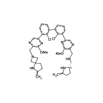 C=C1CC[C@@H](CNCc2ncc(-c3cccc(-c4cccc(-c5cnc(CN6CC7(CCC(=C)N7)C6)c(OC)n5)c4Cl)c3Cl)nc2OC)N1